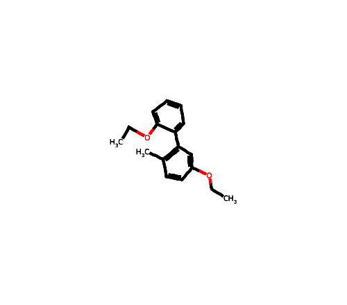 CCOc1ccc(C)c(-c2ccccc2OCC)c1